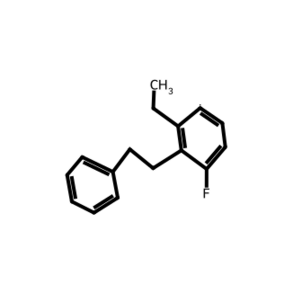 CCc1[c]ccc(F)c1CCc1ccccc1